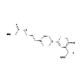 COC(=O)c1cc(N2CCN(CCCNC(=O)OC(C)(C)C)CC2)ccc1F